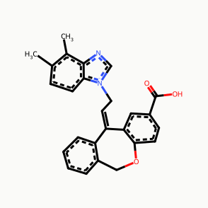 Cc1ccc2c(ncn2CC=C2c3ccccc3COc3ccc(C(=O)O)cc32)c1C